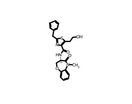 CN1C(=O)[C@@H](NC(=O)c2nc(Cc3ccccc3)sc2CCO)COc2ccccc21